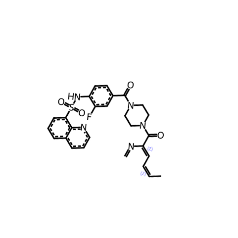 C=N/C(=C\C=C/C)C(=O)N1CCN(C(=O)c2ccc(NS(=O)(=O)c3cccc4cccnc34)c(F)c2)CC1